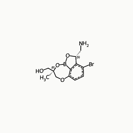 C[C@@]1(CO)COc2ccc(Br)c3c2B(O[C@@H]3CN)O1